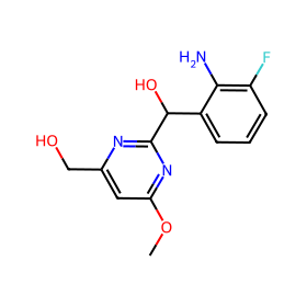 COc1cc(CO)nc(C(O)c2cccc(F)c2N)n1